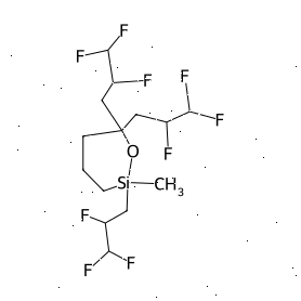 C[Si]1(CC(F)C(F)F)CCCC(CC(F)C(F)F)(CC(F)C(F)F)O1